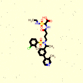 CCNS(=O)(=O)C(NC(=O)CCCN(C(C)c1cccc(-c2ccncc2C)c1)S(=O)(=O)c1cccc(Cl)c1C)C(=O)O